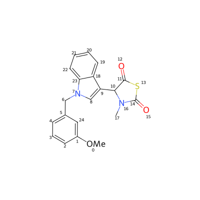 COc1cccc(Cn2cc(C3C(=O)SC(=O)N3C)c3ccccc32)c1